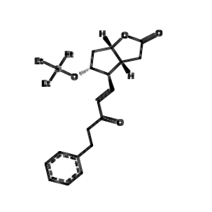 CC[Si](CC)(CC)O[C@@H]1C[C@@H]2OC(=O)C[C@@H]2[C@H]1/C=C/C(=O)CCc1ccccc1